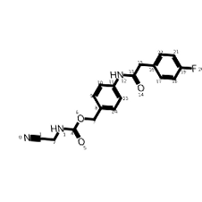 N#CCNC(=O)OCc1ccc(NC(=O)Cc2ccc(F)cc2)cc1